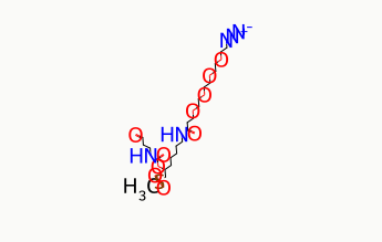 CS(=O)(=O)CC(CCCCCNC(=O)CCOCCOCCOCCOCCN=[N+]=[N-])OC(=O)NCCC=O